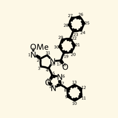 CON=C1CC(c2nc(-c3ccccc3)no2)N(C(=O)c2ccc(-c3ccccc3)cc2)C1